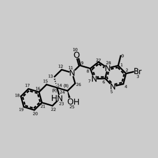 Cc1c(Br)cnc2nc(C(=O)N3CC[C@]4(Cc5ccccc5CN4)[C@H](O)C3)cn12